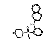 O=S(=O)(c1ccccc1Nc1ccc2ccccc2n1)N1CCNCC1